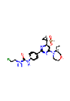 CC[C@H]1COCCN1c1cc(C2(S(C)(=O)=O)CC2)nc(-c2ccc(NC(=O)NCCF)cc2)n1